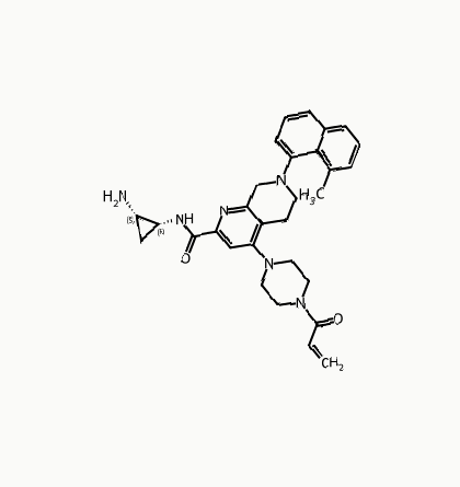 C=CC(=O)N1CCN(c2cc(C(=O)N[C@@H]3C[C@@H]3N)nc3c2CCN(c2cccc4cccc(C)c24)C3)CC1